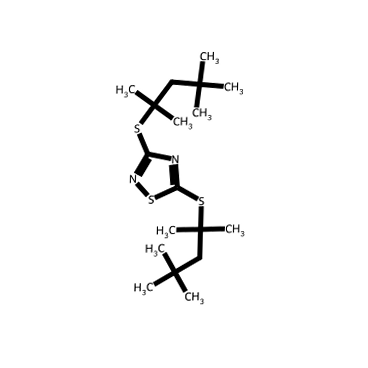 CC(C)(C)CC(C)(C)Sc1nsc(SC(C)(C)CC(C)(C)C)n1